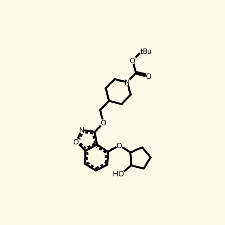 CC(C)(C)OC(=O)N1CCC(COc2noc3cccc(OC4CCCC4O)c23)CC1